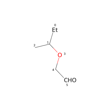 CCC(C)OCC=O